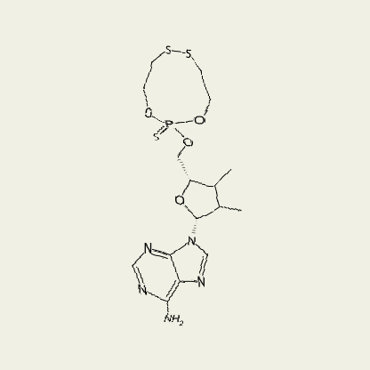 CC1C(C)[C@@H](COP2(=S)OCCSSCCO2)O[C@H]1n1cnc2c(N)ncnc21